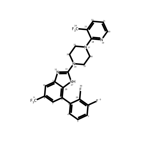 Fc1cccc(-c2cc(C(F)(F)F)cc3nc(N4CCN(c5ncccc5C(F)(F)F)CC4)[nH]c23)c1F